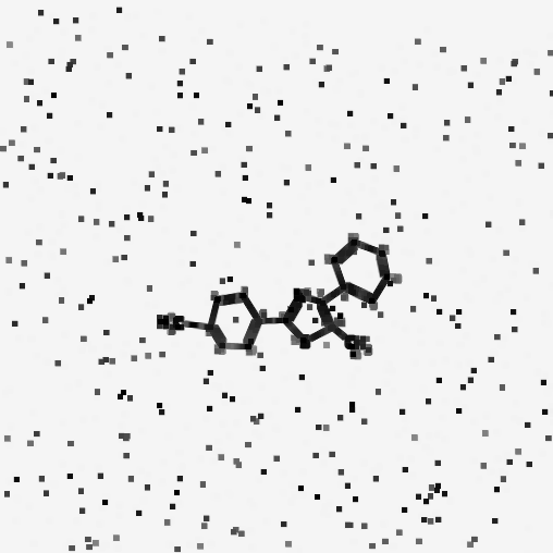 Cc1ccc(-c2nc(-c3ccccc3)c(C)s2)cc1